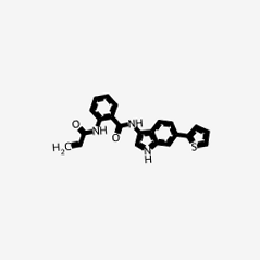 C=CC(=O)Nc1ccccc1C(=O)Nc1c[nH]c2cc(-c3cccs3)ccc12